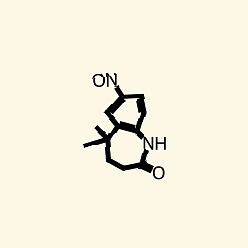 CC1(C)CCC(=O)Nc2ccc(N=O)cc21